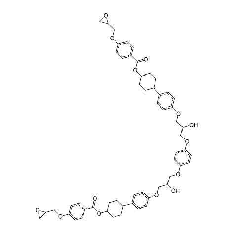 O=C(OC1CCC(c2ccc(OCC(O)COc3ccc(OCC(O)COc4ccc(C5CCC(OC(=O)c6ccc(OCC7CO7)cc6)CC5)cc4)cc3)cc2)CC1)c1ccc(OCC2CO2)cc1